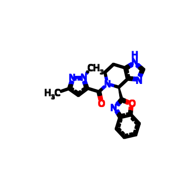 Cc1cc(C(=O)N2CCc3[nH]cnc3[C@H]2c2nc3ccccc3o2)n(C)n1